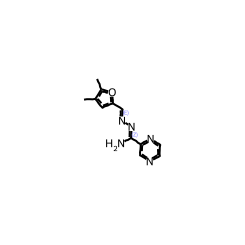 Cc1cc(/C=N/N=C(\N)c2cnccn2)oc1C